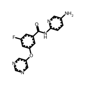 Nc1ccc(NC(=O)c2cc(F)cc(Oc3cncnc3)c2)nc1